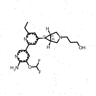 CCc1cc([C@H]2[C@@H]3CN(CCCO)C[C@@H]32)cc(-c2cnc(N)c(OC(F)F)c2)n1